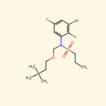 CCCS(=O)(=O)N(COCC[Si](C)(C)C)c1cc(F)cc(Br)c1F